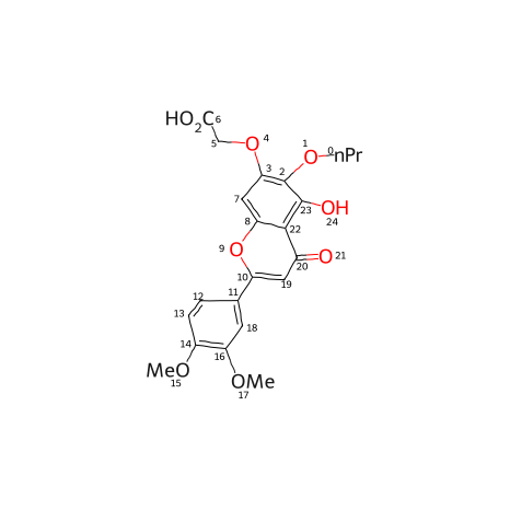 CCCOc1c(OCC(=O)O)cc2oc(-c3ccc(OC)c(OC)c3)cc(=O)c2c1O